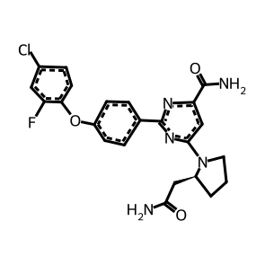 NC(=O)C[C@@H]1CCCN1c1cc(C(N)=O)nc(-c2ccc(Oc3ccc(Cl)cc3F)cc2)n1